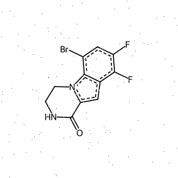 O=C1NCCn2c1cc1c(F)c(F)cc(Br)c12